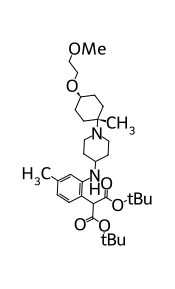 COCCO[C@H]1CC[C@](C)(N2CCC(Nc3cc(C)ccc3C(C(=O)OC(C)(C)C)C(=O)OC(C)(C)C)CC2)CC1